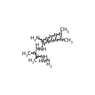 CN(NNN)N(C)NNN1N(N)N2N1N1N3N(C)N(C)N3N21